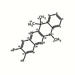 CN1c2ccccc2C(C)(C)c2nc3cc(F)c(F)cc3nc21